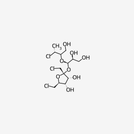 C[C@@H](Cl)C(CO)O[C@H](O[C@@]1(CCl)O[C@H](CCl)[C@@H](O)[C@H]1O)[C@@H](O)CO